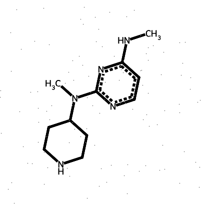 CNc1ccnc(N(C)C2CCNCC2)n1